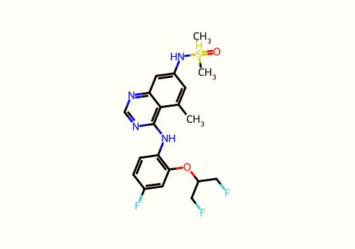 Cc1cc(N[SH](C)(C)=O)cc2ncnc(Nc3ccc(F)cc3OC(CF)CF)c12